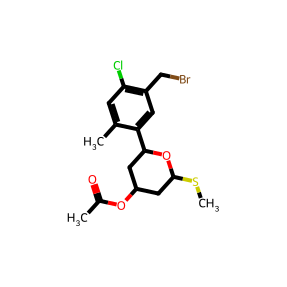 CSC1CC(OC(C)=O)CC(c2cc(CBr)c(Cl)cc2C)O1